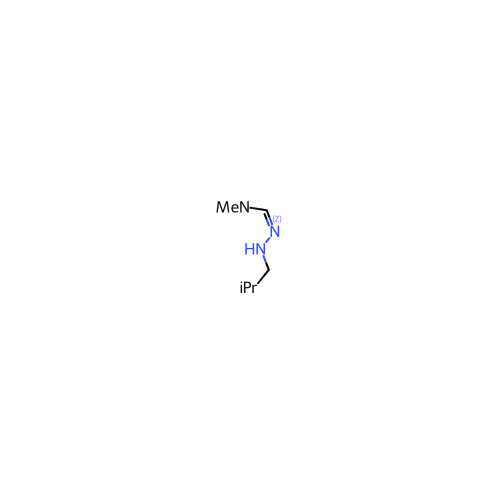 CN/C=N\NCC(C)C